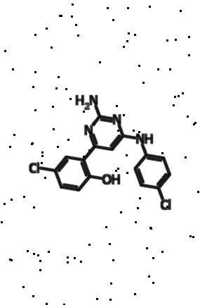 Nc1nc(Nc2ccc(Cl)cc2)cc(-c2cc(Cl)ccc2O)n1